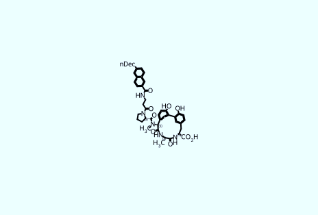 CCCCCCCCCCc1ccc2cc(C(=O)NCCC(=O)N3CCC[C@H]3C(=O)N(C)[C@@H]3C(=O)N[C@@H](C)C(=O)N[C@H](C(=O)O)Cc4ccc(O)c(c4)-c4cc3ccc4O)ccc2c1